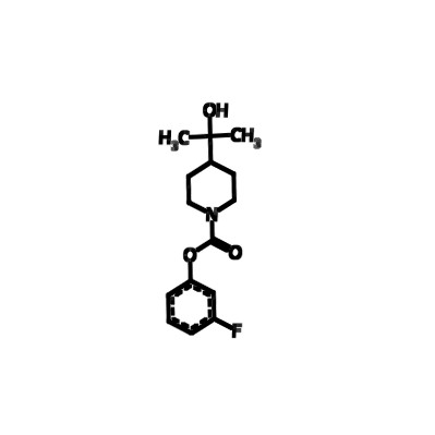 CC(C)(O)C1CCN(C(=O)Oc2cccc(F)c2)CC1